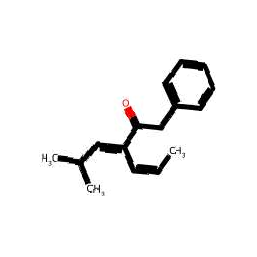 C/C=C\C(=C/C(C)C)C(=O)Cc1ccccc1